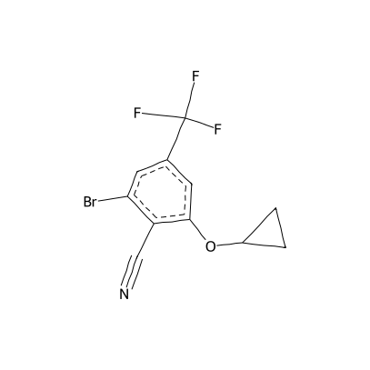 N#Cc1c(Br)cc(C(F)(F)F)cc1OC1CC1